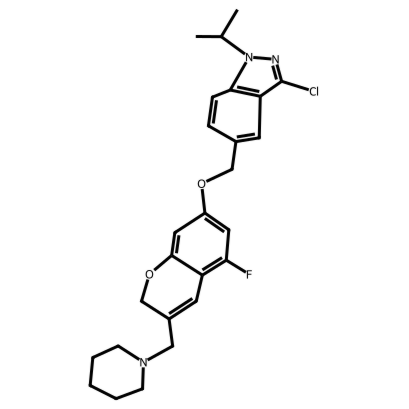 CC(C)n1nc(Cl)c2cc(COc3cc(F)c4c(c3)OCC(CN3CCCCC3)=C4)ccc21